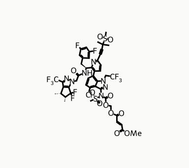 COC(=O)/C=C/C(=O)OCOC(=O)N(c1nn(CC(F)(F)F)c2c(-c3ccc(C#CC(C)(C)S(C)(=O)=O)nc3[C@H](Cc3cc(F)cc(F)c3)NC(=O)Cn3nc(C(F)(F)F)c4c3C(F)(F)[C@H](C)[C@@H]4C)ccc(Cl)c12)S(C)(=O)=O